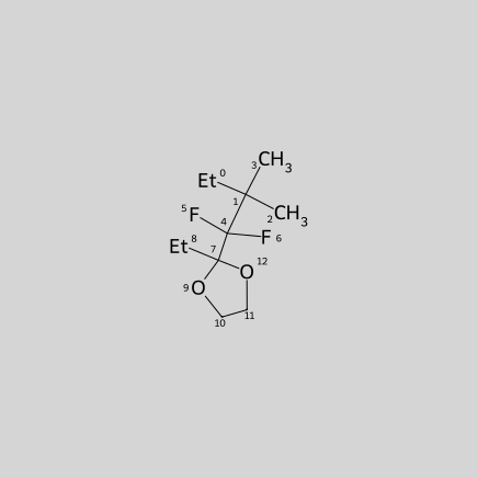 CCC(C)(C)C(F)(F)C1(CC)OCCO1